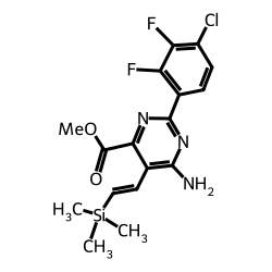 COC(=O)c1nc(-c2ccc(Cl)c(F)c2F)nc(N)c1/C=C/[Si](C)(C)C